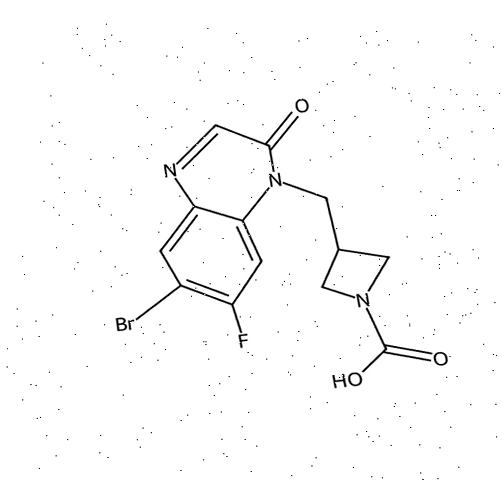 O=C(O)N1CC(Cn2c(=O)cnc3cc(Br)c(F)cc32)C1